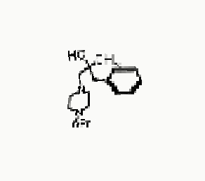 CCCN1CCN(CC(C)(O)Cc2ccccc2)CC1